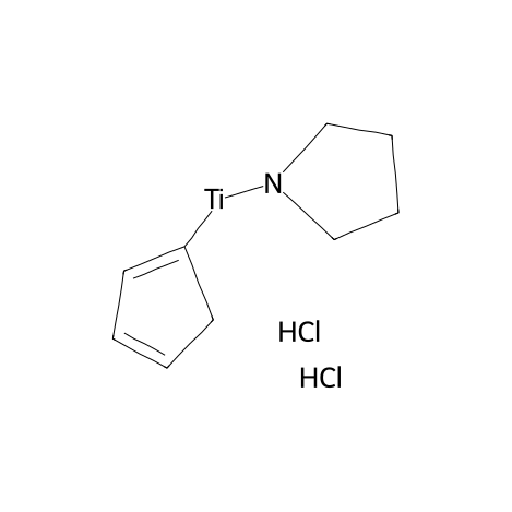 C1=CC[C]([Ti][N]2CCCC2)=C1.Cl.Cl